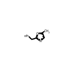 [CH2]CCCc1ncc(C)o1